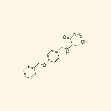 NC(=O)C(CO)NCc1ccc(OCc2ccccc2)cc1